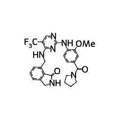 COc1cc(C(=O)N2CCCC2)ccc1Nc1ncc(C(F)(F)F)c(NCc2cccc3c2C(=O)NC3)n1